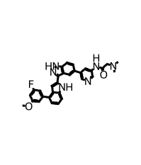 COc1cc(F)cc(-c2cccc3[nH]c(-c4n[nH]c5ccc(-c6cncc(NC(=O)CN(C)C)c6)cc45)cc23)c1